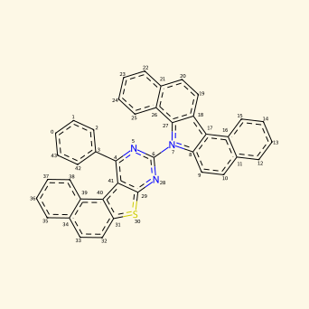 c1ccc(-c2nc(-n3c4ccc5ccccc5c4c4ccc5ccccc5c43)nc3sc4ccc5ccccc5c4c23)cc1